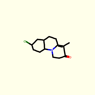 CC1=C2CCC3CC(Cl)CCC3N2CCC1=O